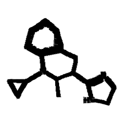 CC1C(C2=NCCN2)Cc2ccccc2N1C1CC1